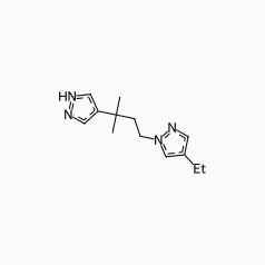 CCc1cnn(CCC(C)(C)c2cn[nH]c2)c1